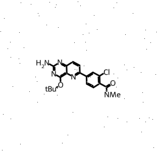 CNC(=O)c1ccc(-c2ccc3nc(N)nc(OC(C)(C)C)c3n2)cc1Cl